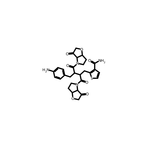 NC(=O)c1ccsc1CC([C](Cc1ccc(N)cc1)C(=O)N1CCC2OCC(=O)C21)C(=O)N1CCC2OCC(=O)C21